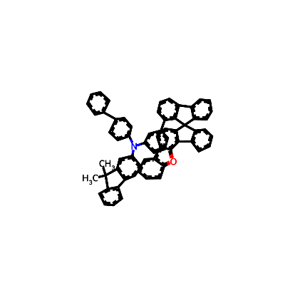 CC1(C)c2ccccc2-c2ccc(N(c3ccc(-c4ccccc4)cc3)c3cccc(-c4cccc5c4C4(c6ccccc6-5)c5ccccc5-c5c4ccc4c5oc5ccccc54)c3)cc21